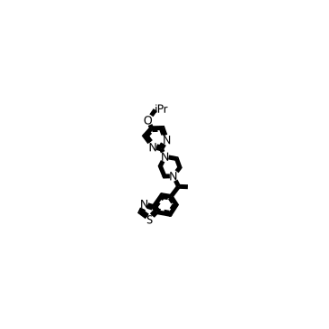 CC(C)Oc1cnc(N2CCN(C(C)c3ccc4scnc4c3)CC2)nc1